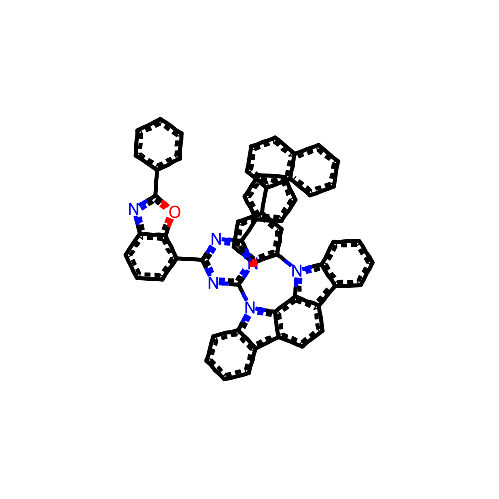 c1ccc(-c2nc(-c3cccc4nc(-c5ccccc5)oc34)nc(-n3c4ccccc4c4ccc5c6ccccc6n(-c6cccc(-c7cccc8ccccc78)c6)c5c43)n2)cc1